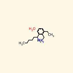 CCCCCC(N)c1cccc(CC)c1CC.O